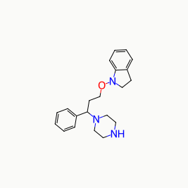 c1ccc(C(CCON2CCc3ccccc32)N2CCNCC2)cc1